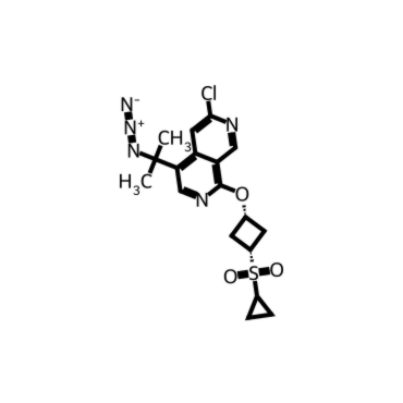 CC(C)(N=[N+]=[N-])c1cnc(O[C@H]2C[C@@H](S(=O)(=O)C3CC3)C2)c2cnc(Cl)cc12